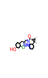 C[C@H]1[C@@H](C(=O)NC[C@@H](N)Cc2ccc(O)cc2Cl)[C@]1(C)c1ccccc1